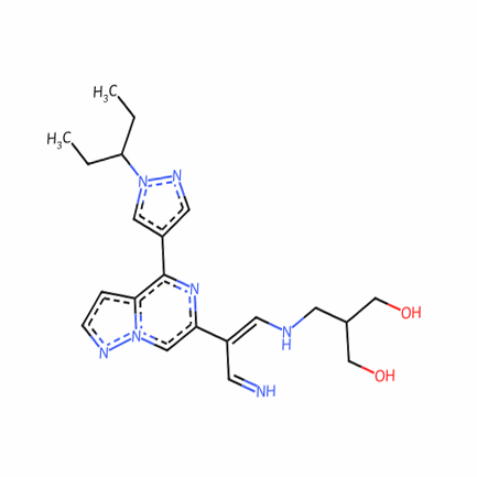 CCC(CC)n1cc(-c2nc(/C(C=N)=C/NCC(CO)CO)cn3nccc23)cn1